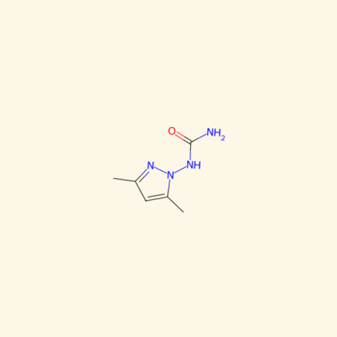 Cc1cc(C)n(NC(N)=O)n1